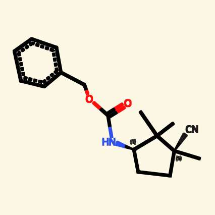 CC1(C)[C@H](NC(=O)OCc2ccccc2)CC[C@]1(C)C#N